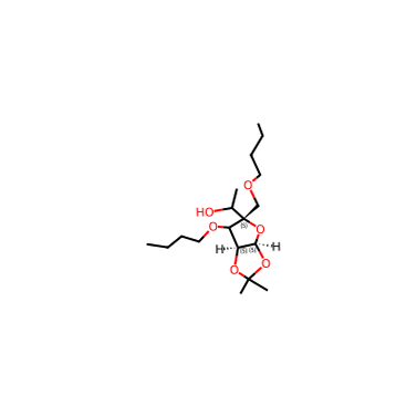 CCCCOC[C@@]1(C(C)O)O[C@H]2OC(C)(C)O[C@H]2C1OCCCC